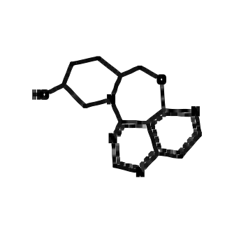 OC1CCC2COc3nccc4ncnc(c34)N2C1